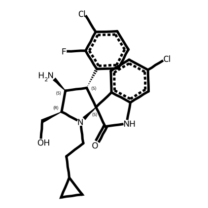 N[C@@H]1[C@H](CO)N(CCC2CC2)[C@@]2(C(=O)Nc3cc(Cl)ccc32)[C@H]1c1cccc(Cl)c1F